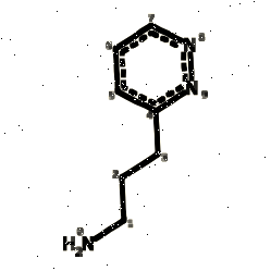 NCCCc1cccnn1